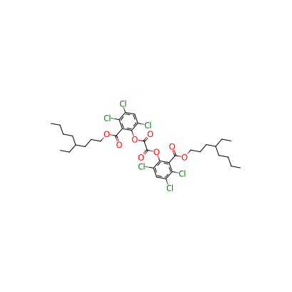 CCCCC(CC)CCCOC(=O)c1c(Cl)c(Cl)cc(Cl)c1OC(=O)C(=O)Oc1c(Cl)cc(Cl)c(Cl)c1C(=O)OCCCC(CC)CCCC